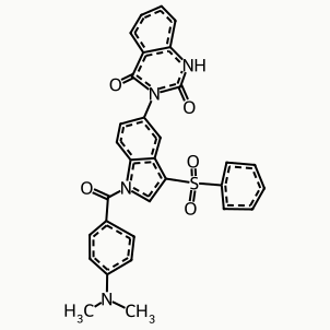 CN(C)c1ccc(C(=O)n2cc(S(=O)(=O)c3ccccc3)c3cc(-n4c(=O)[nH]c5ccccc5c4=O)ccc32)cc1